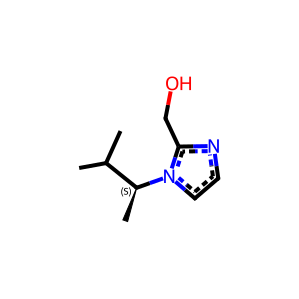 CC(C)[C@H](C)n1ccnc1CO